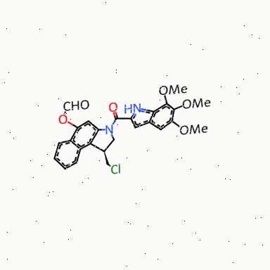 COc1cc2cc(C(=O)N3C[C@@H](CCl)c4c3cc(OC=O)c3ccccc43)[nH]c2c(OC)c1OC